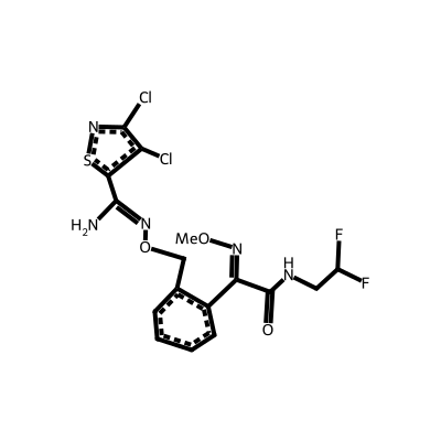 CO/N=C(/C(=O)NCC(F)F)c1ccccc1CO/N=C(\N)c1snc(Cl)c1Cl